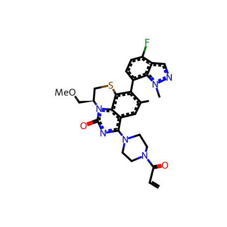 C=CC(=O)N1CCN(c2nc(=O)n3c4c(c(-c5ccc(F)c6cnn(C)c56)c(C)cc24)SC[C@@H]3COC)CC1